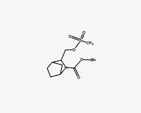 CC(C)(C)OC(=O)N1C2CCC(C2)C1COS(C)(=O)=O